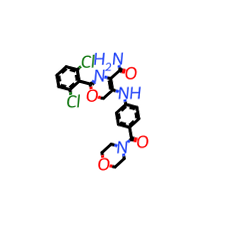 NC(=O)C1=C(Nc2ccc(C(=O)N3CCOCC3)cc2)COC(c2c(Cl)cccc2Cl)=N1